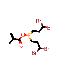 C=C(C)C(=O)OP(CCC(Br)Br)CCC(Br)Br